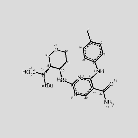 Cc1ccc(Nc2nc(N[C@@H]3CCOC[C@@H]3N(C(=O)O)C(C)(C)C)ncc2C(N)=O)cc1